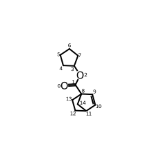 O=C(OC1CCCC1)C12C=CC(CC1)C2